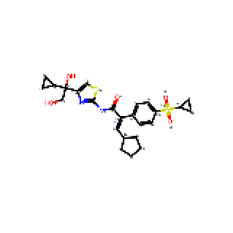 O=C(Nc1nc(C(O)(CO)C2CC2)cs1)/C(=C/C1CCCC1)c1ccc(S(=O)(=O)C2CC2)cc1